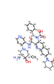 C[C@H]1CN(c2ccncc2NC(=O)c2nc3cc(N4CCCCC4=O)ccc3cc2N(Cc2ccccc2)C(=O)O)C[C@@H](N)[C@@H]1O